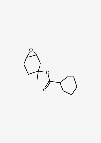 CC1(OC(=O)C2CCCCC2)CCC2OC2C1